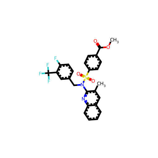 COC(=O)c1ccc(S(=O)(=O)N(Cc2ccc(F)c(C(F)(F)F)c2)c2nc3ccccc3cc2C)cc1